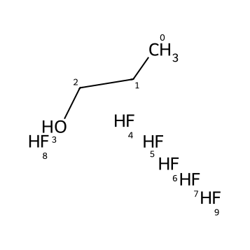 CCCO.F.F.F.F.F.F